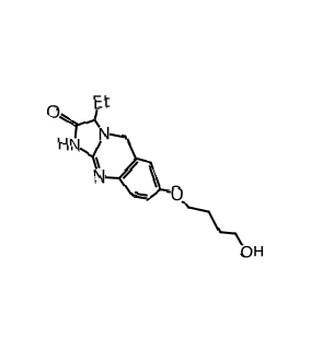 CCC1C(=O)NC2=Nc3ccc(OCCCCO)cc3CN21